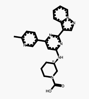 Cc1ccc(-c2cc(N[C@@H]3CCCN(C(=O)O)C3)nc(-c3cnn4ccccc34)n2)cn1